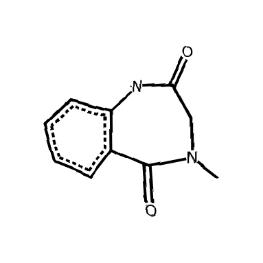 CN1CC(=O)[N]c2ccccc2C1=O